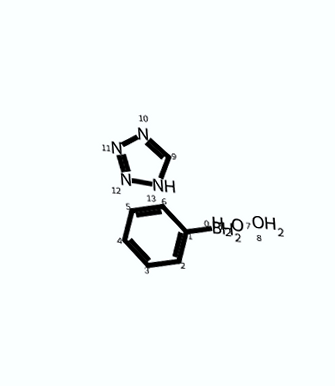 Bc1ccccc1.O.O.c1nnn[nH]1